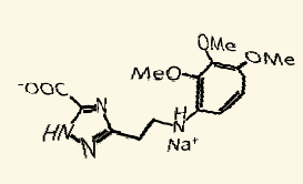 COc1ccc(NCCc2n[nH]c(C(=O)[O-])n2)c(OC)c1OC.[Na+]